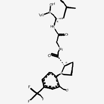 CC(C)C[C@H](NC(=O)CNC(=O)[C@@H]1CCN1c1ccc(C(F)(F)F)cc1Cl)B(O)O